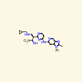 Cc1nc2cnc(Nc3ccnc(/C(=C/NCC4CC4)C(=N)[N+](=O)[O-])n3)cc2n1C(C)C